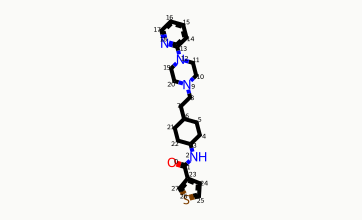 O=C(NC1CCC(CCN2CCN(c3ccccn3)CC2)CC1)c1ccsc1